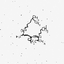 C=C(C)C(=O)OCCCC.C=C(C=CC(=O)O)C(=O)OCCCCCC(C)C